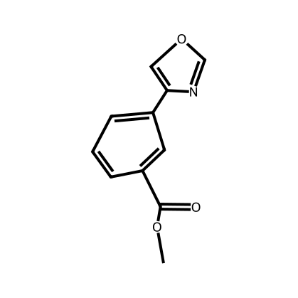 COC(=O)c1cccc(-c2cocn2)c1